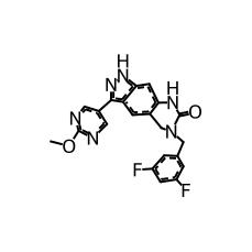 COc1ncc(-c2n[nH]c3cc4c(cc23)CN(Cc2cc(F)cc(F)c2)C(=O)N4)cn1